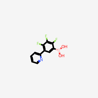 OB(O)c1cc(-c2ccccn2)c(F)c(F)c1F